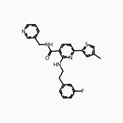 Cc1csc(-c2ccc(C(=O)NCc3cccnc3)c(NCCc3cccc(F)c3)n2)c1